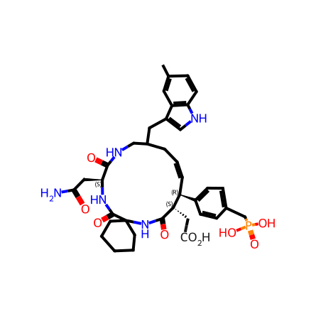 Cc1ccc2[nH]cc(CC3CC=C[C@@H](c4ccc(CP(=O)(O)O)cc4)[C@H](CC(=O)O)C(=O)NC4(CCCCC4)C(=O)N[C@@H](CC(N)=O)C(=O)NC3)c2c1